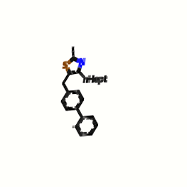 CCCCCCCc1nc(C)sc1Cc1ccc(-c2[c]cccc2)cc1